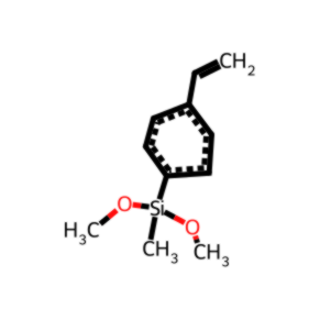 C=Cc1ccc([Si](C)(OC)OC)cc1